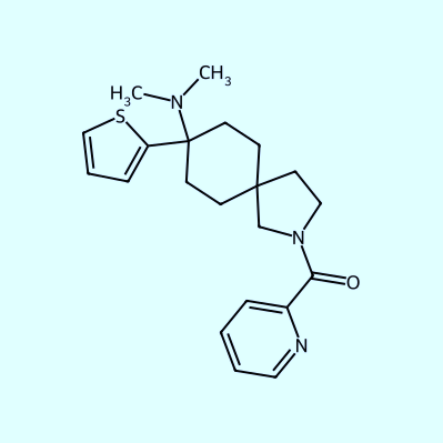 CN(C)C1(c2cccs2)CCC2(CCN(C(=O)c3ccccn3)C2)CC1